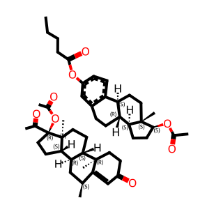 CC(=O)O[C@]1(C(C)=O)CC[C@H]2[C@@H]3C[C@H](C)C4=CC(=O)CC[C@]4(C)[C@H]3CC[C@@]21C.CCCCC(=O)Oc1ccc2c(c1)CC[C@@H]1[C@@H]2CC[C@]2(C)[C@@H](OC(C)=O)CC[C@@H]12